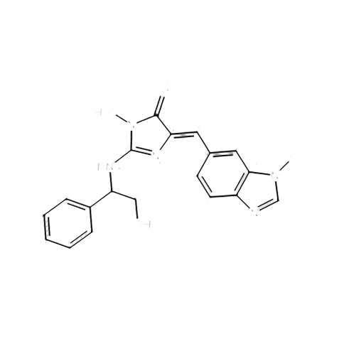 CN1C(=O)/C(=C/c2ccc3ncn(C)c3c2)N=C1NC(CO)c1ccccc1